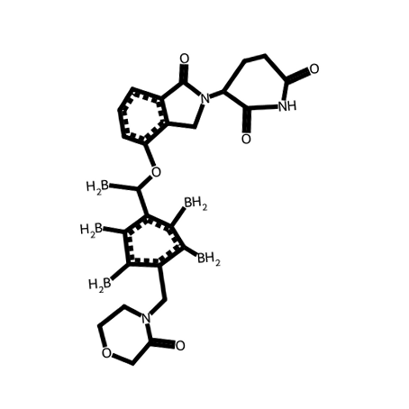 Bc1c(B)c(C(B)Oc2cccc3c2CN(C2CCC(=O)NC2=O)C3=O)c(B)c(B)c1CN1CCOCC1=O